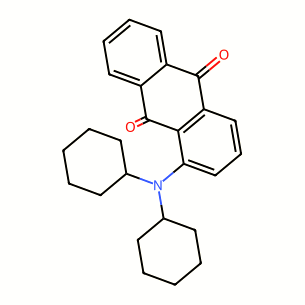 O=C1c2ccccc2C(=O)c2c1cccc2N(C1CCCCC1)C1CCCCC1